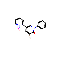 O=c1c(Br)cc(-c2cccc[n+]2[O-])cn1-c1ccccc1